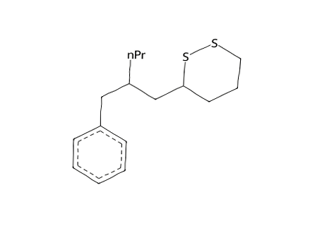 CCCC(Cc1ccccc1)CC1CCCSS1